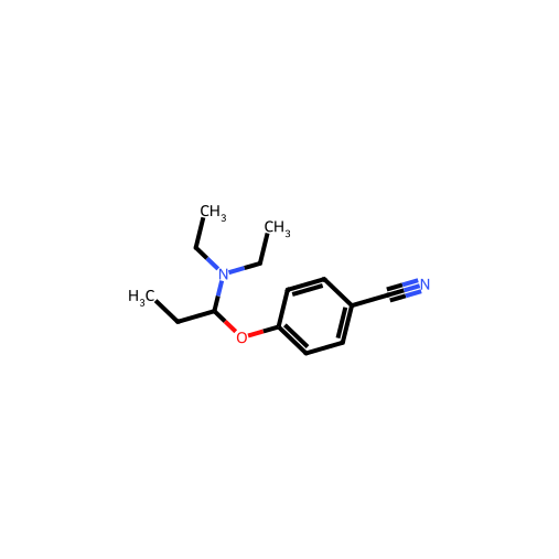 CCC(Oc1ccc(C#N)cc1)N(CC)CC